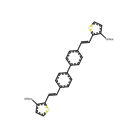 CCCCCCc1ccsc1/C=C/c1ccc(-c2ccc(/C=C/c3sccc3CCCCCC)cc2)cc1